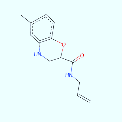 C=CCNC(=O)C1CNc2cc(C)ccc2O1